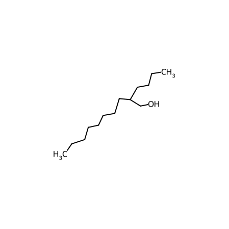 CCCCCCCCC(CO)CCCC